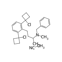 CC#N.CC(CCc1c(C2(Cl)CCC2)cccc1C1(Cl)CCC1)N(C)Cc1ccccc1